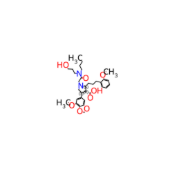 CCCCN(CCCO)C(=O)CN1C[C@H](c2cc(OC)c3c(c2)OCO3)[C@@H](C(=O)O)[C@@H]1CCCc1ccccc1OC